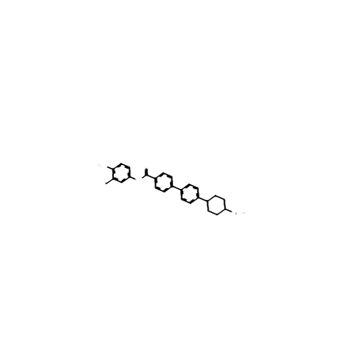 CCCCCC1CCC(c2ccc(-c3ccc(C(=O)Oc4ccc(C#N)c(Cl)c4)cc3)cc2)CC1